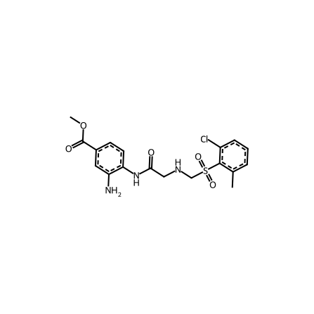 COC(=O)c1ccc(NC(=O)CNCS(=O)(=O)c2c(C)cccc2Cl)c(N)c1